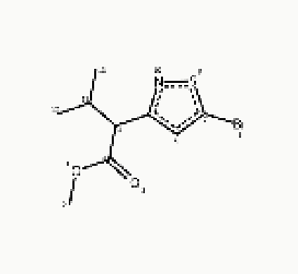 COC(=O)C(c1cc(Br)sn1)C(C)C